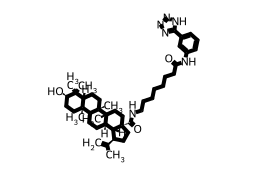 C=C(C)[C@@H]1CC[C@]2(C(=O)NCCCCCCCC(=O)Nc3cccc(-c4nnn[nH]4)c3)CC[C@]3(C)[C@H](CCC4[C@@]5(C)CC[C@H](O)C(C)(C)[C@@H]5CC[C@]43C)[C@@H]12